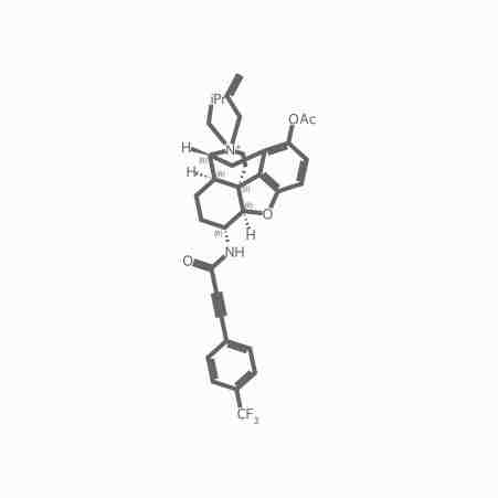 C=CC[N+]1(CC(C)C)CC[C@@]23c4c5ccc(OC(C)=O)c4C[C@@H]1[C@@H]2CC[C@@H](NC(=O)C#Cc1ccc(C(F)(F)F)cc1)[C@@H]3O5